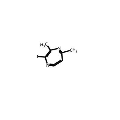 CC1=NC(C)=C(I)N=C=C1